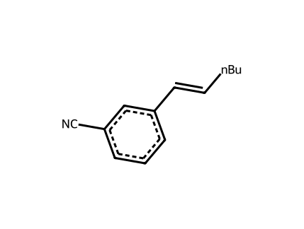 CCCC/C=C/c1cccc(C#N)c1